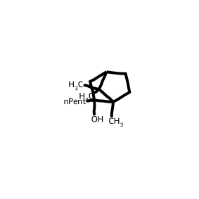 CCCCCC1(O)CC2CCC1(C)C2(C)C